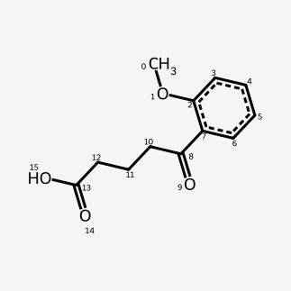 COc1ccccc1C(=O)CCCC(=O)O